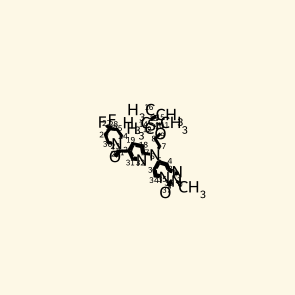 Cn1nc2cc(N(CCO[Si](C)(C)C(C)(C)C)c3ccc(C(=O)N4CCC(F)(F)CC4)cn3)ccn2c1=O